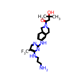 CC(C)(O)CC(=O)N1CCc2cc(Nc3ncc(C(F)(F)F)c(NCCCN)n3)ccc2C1